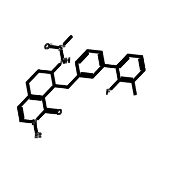 CCn1ccc2c(c1=O)C(Cc1cccc(-c3cccc(C)c3F)c1)C(N[S+](C)[O-])CC2